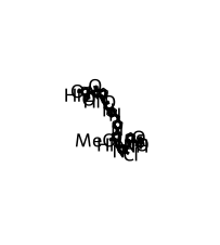 COc1cc(N2CCC(CN3CCN(CC(=O)Nc4cccc5c4CN(C4CCC(=O)NC4=O)C5=O)CC3)CC2)ccc1Nc1ncc(Cl)c(Nc2ccccc2N(C)S(C)(=O)=O)n1